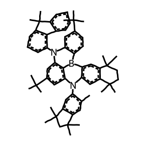 Cc1cc2c(cc1N1c3cc4c(cc3B3c5ccc(C(C)(C)C)cc5N(c5cccc6c5-c5ccccc5C6(C)C)c5cc(C(C)(C)C)cc1c53)C(C)(C)CCC4(C)C)C(C)(C)CC2(C)C